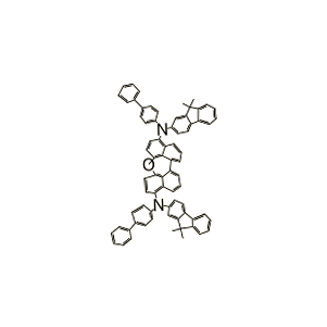 CC1(C)c2ccccc2-c2ccc(N(c3ccc(-c4ccccc4)cc3)c3ccc4oc5ccc(N(c6ccc(-c7ccccc7)cc6)c6ccc7c(c6)C(C)(C)c6ccccc6-7)c6cccc(c7cccc3c47)c56)cc21